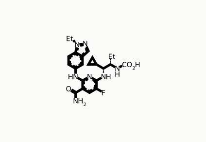 CC[C@H](NC(=O)O)[C@H](Nc1nc(Nc2ccc3c(cnn3CC)c2)c(C(N)=O)cc1F)C1CC1